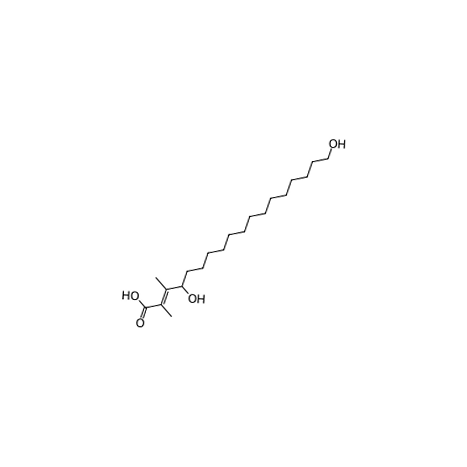 CC(C(=O)O)=C(C)C(O)CCCCCCCCCCCCCCO